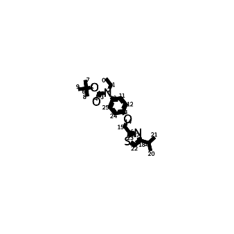 CCN(C(=O)OC(C)(C)C)c1ccc(OCc2nc(C(C)C)cs2)cc1